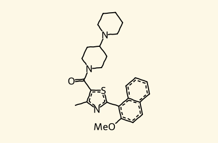 COc1ccc2ccccc2c1-c1nc(C)c(C(=O)N2CCC(N3CCCCC3)CC2)s1